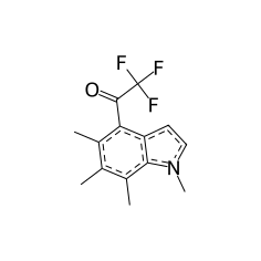 Cc1c(C)c(C)c2c(ccn2C)c1C(=O)C(F)(F)F